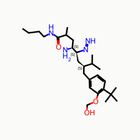 CCCCNC(=O)C(C)C[C@H](N)[C@H](C[C@H](Cc1ccc(C(C)(C)C)c(OCO)c1)C(C)C)N=N